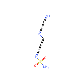 N=C=C=NC=C=C=NS(N)(=O)=O